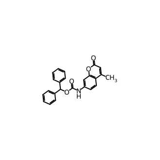 Cc1cc(=O)oc2cc(NC(=O)OC(c3ccccc3)c3ccccc3)ccc12